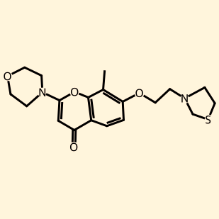 Cc1c(OCCN2CCSC2)ccc2c(=O)cc(N3CCOCC3)oc12